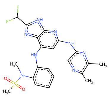 Cc1ncc(Nc2cc(Nc3ccccc3N(C)S(C)(=O)=O)c3nc(C(F)F)[nH]c3n2)nc1C